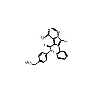 COCc1ccc(NC(=O)c2c(-c3ccccc3)c(C(C)C)n3ncnc(N)c23)cc1